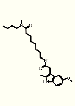 CCCCN(C)C(=O)CCCCCCCNC(=O)Cc1c(C)[nH]c2ccc(OC)cc12